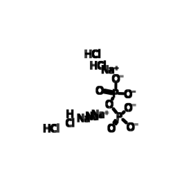 Cl.Cl.Cl.Cl.O=P([O-])([O-])OP(=O)([O-])[O-].[Na+].[Na+].[Na+].[Na+]